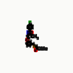 COC(=O)CSCc1cccc(OCCc2nc(-c3ccc(F)cc3)oc2C)c1